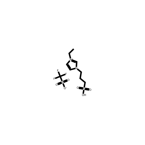 CC[n+]1ccn(CCCS(=O)(=O)O)c1.O=S(=O)([O-])C(F)(F)F